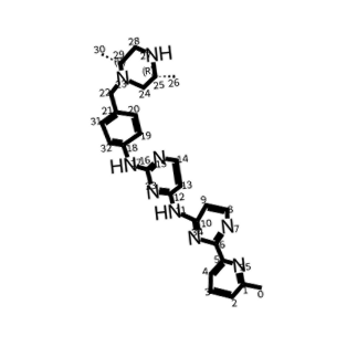 Cc1cccc(-c2nccc(Nc3ccnc(Nc4ccc(CN5C[C@@H](C)NC[C@H]5C)cc4)n3)n2)n1